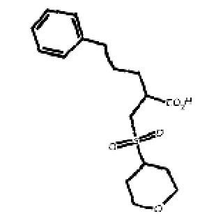 O=C(O)C(CCCc1ccccc1)CS(=O)(=O)C1CCOCC1